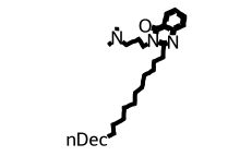 CCCCCCCCCCCCCCCCCCCCCc1nc2ccccc2c(=O)n1CCCN(C)C